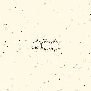 O=C/C=C\c1ccc2ccccc2c1